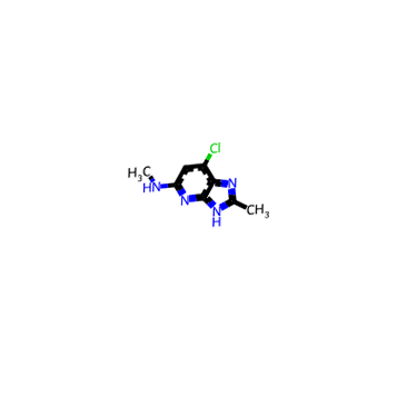 CNc1cc(Cl)c2nc(C)[nH]c2n1